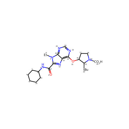 CCn1c(C(=O)NC2CCCCC2)nc2c(OC3CCN(C(=O)O)C3C(C)(C)C)ncnc21